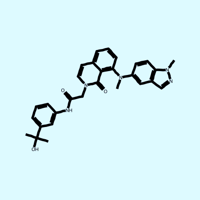 CN(c1ccc2c(cnn2C)c1)c1cccc2ccn(CC(=O)Nc3cccc(C(C)(C)O)c3)c(=O)c12